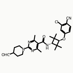 Cc1nc(N2CCC(C=O)CC2)nc(C)c1C(=O)N[C@H]1C(C)(C)[C@H](Oc2ccc(C#N)c(Cl)c2)C1(C)C